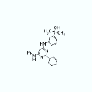 CC(C)Nc1cc(Nc2cccc(C(C)(C)O)c2)nc(-c2ccccc2)n1